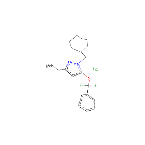 CNCc1cc(OC(F)(F)c2ccccc2)n(CC2CCCCC2)n1.Cl